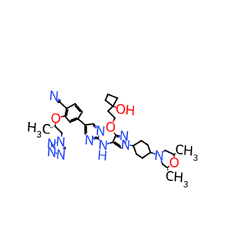 C[C@@H]1CN(C2CCC(n3cc(Nc4ncc(-c5ccc(C#N)c(O[C@@H](C)Cn6cnnn6)c5)cn4)c(OCCC4(O)CCC4)n3)CC2)C[C@H](C)O1